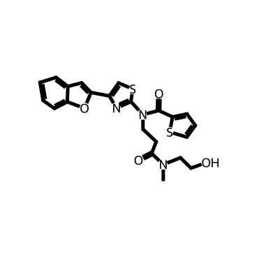 CN(CCO)C(=O)CCN(C(=O)c1cccs1)c1nc(-c2cc3ccccc3o2)cs1